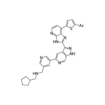 CC(=O)c1ccc(-c2ccnc3[nH]c(-c4n[nH]c5cnc(-c6cncc(CNCC7CCCC7)c6)cc45)nc23)s1